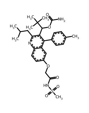 Cc1ccc(-c2c(C(OC(N)=O)C(C)(C)C)c(CC(C)C)nc3ccc(OCC(=O)NS(C)(=O)=O)cc23)cc1